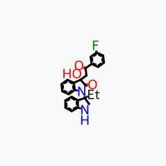 CCC1(N2C(=O)C(O)(CC(=O)c3cccc(F)c3)c3ccccc32)CNc2ccccc21